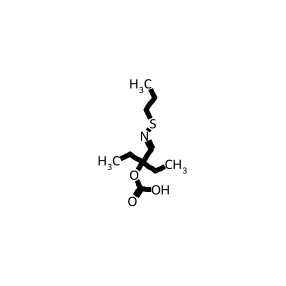 CCCSN=CC(CC)(CC)OC(=O)O